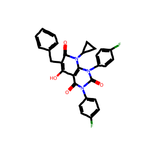 O=c1c2c(O)c(Cc3ccccc3)c(=O)n(C3CC3)c2n(-c2ccc(F)cc2)c(=O)n1-c1ccc(F)cc1